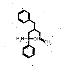 C=CCC(Cc1ccccc1)C[C@@](N)(O)c1ccccc1